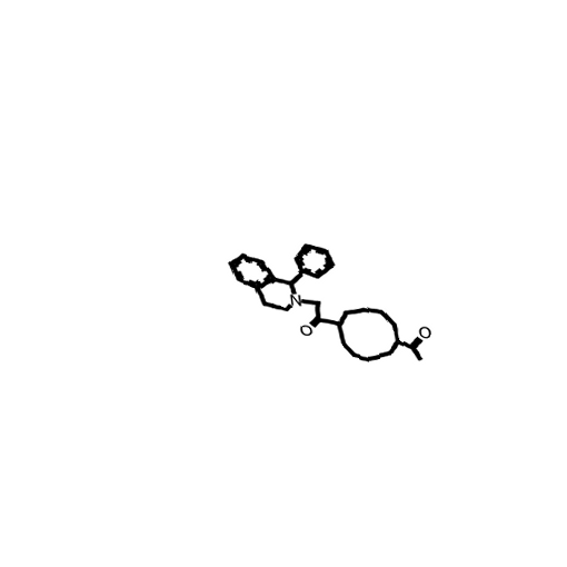 CC(=O)C1CCCCC(C(=O)CN2CCc3ccccc3C2c2ccccc2)CCCC1